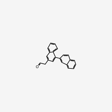 O=CCc1cc(-c2ccc3ccccc3c2)c2ccccc2c1